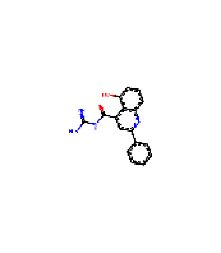 N=C(N)NC(=O)c1cc(-c2ccccc2)nc2cccc(O)c12